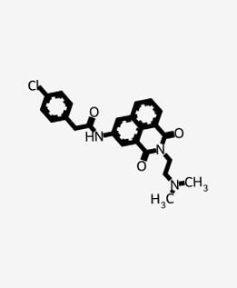 CN(C)CCN1C(=O)c2cccc3cc(NC(=O)Cc4ccc(Cl)cc4)cc(c23)C1=O